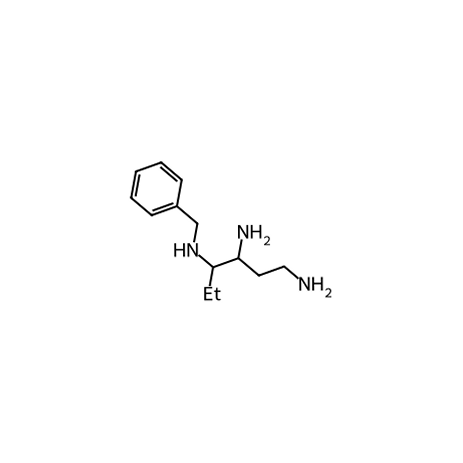 CCC(NCc1ccccc1)C(N)CCN